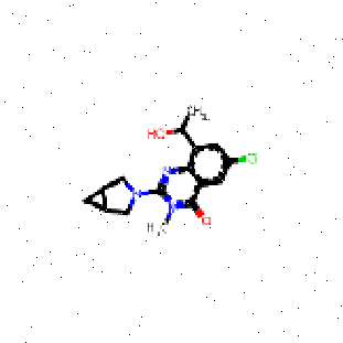 CC(O)c1cc(Cl)cc2c(=O)n(C)c(N3CC4CC4C3)nc12